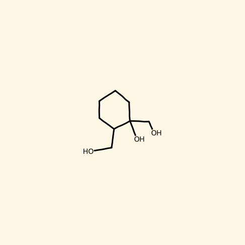 OCC1CCCCC1(O)CO